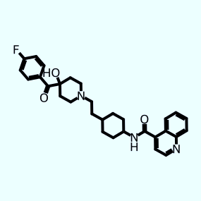 O=C(NC1CCC(CCN2CCC(O)(C(=O)c3ccc(F)cc3)CC2)CC1)c1ccnc2ccccc12